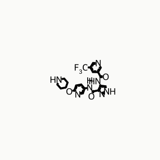 O=C(Nc1c[nH]nc1C(=O)Nc1ccc(OC2CCNCC2)nc1)c1cncc(C(F)(F)F)c1